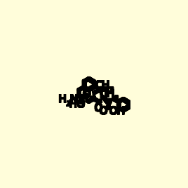 CC(C)C[C@H](CP(=O)(O)[C@@H](N)Cc1ccccc1)C(=O)N[C@@H](Cc1ccccc1)C(=O)O